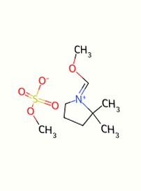 COC=[N+]1CCCC1(C)C.COS(=O)(=O)[O-]